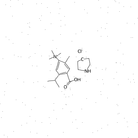 C1CCNCC1.Cc1cc(C(=O)O)c(C(C)C)cc1[N+](C)(C)C.[Cl-]